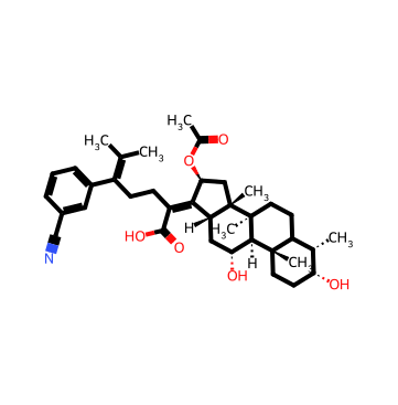 CC(=O)O[C@H]1C[C@@]2(C)[C@H](C[C@@H](O)[C@@H]3[C@@]4(C)CC[C@@H](O)[C@@H](C)C4CC[C@@]32C)C1=C(CCC(=C(C)C)c1cccc(C#N)c1)C(=O)O